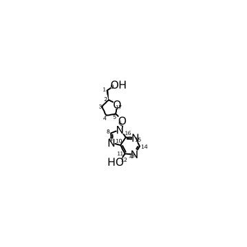 OC[C@@H]1CCC(On2cnc3c(O)ncnc32)O1